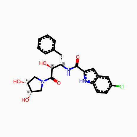 O=C(N[C@@H](Cc1ccccc1)[C@H](O)C(=O)N1C[C@@H](O)[C@@H](O)C1)c1cc2cc(Cl)ccc2[nH]1